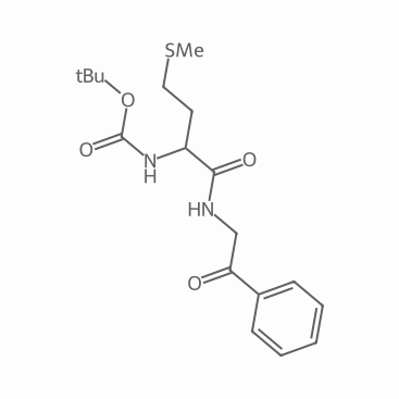 CSCCC(NC(=O)OC(C)(C)C)C(=O)NCC(=O)c1ccccc1